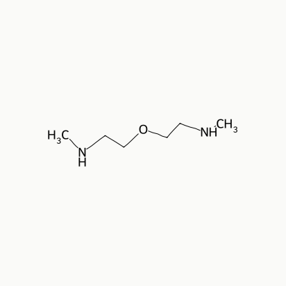 CNCCOCCNC